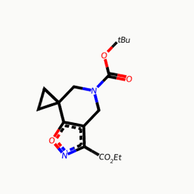 CCOC(=O)c1noc2c1CN(C(=O)OC(C)(C)C)CC21CC1